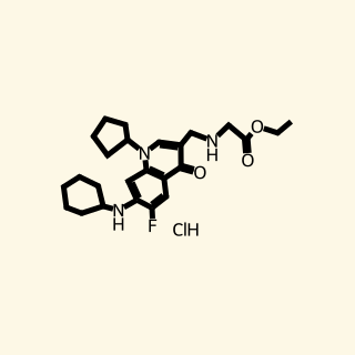 CCOC(=O)CNCc1cn(C2CCCC2)c2cc(NC3CCCCC3)c(F)cc2c1=O.Cl